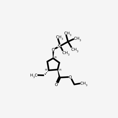 CCOC(=O)[C@@H]1C[C@H](O[Si](C)(C)C(C)(C)C)C[C@H]1CC